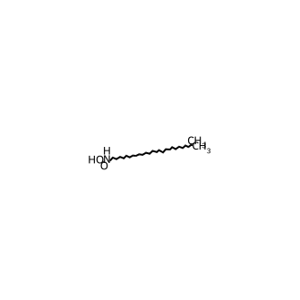 CC(C)CCCCCCCCCCCCCCCCCCCCCCCCCNC(=O)O